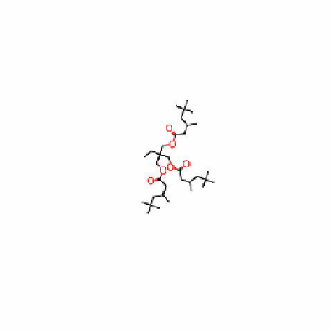 CCC(COC(=O)CC(C)CC(C)(C)C)(COC(=O)CC(C)CC(C)(C)C)COC(=O)CC(C)CC(C)(C)C